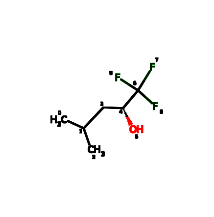 CC(C)C[C@@H](O)C(F)(F)F